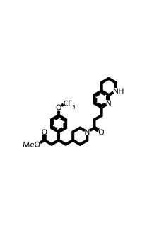 COC(=O)CC(CC1CCN(C(=O)CCc2ccc3c(n2)NCCC3)CC1)c1ccc(OC(F)(F)F)cc1